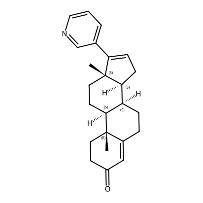 C[C@]12CCC(=O)C=C1CC[C@H]1[C@@H]2CC[C@]2(C)C(c3cccnc3)=CC[C@@H]12